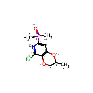 CC1COc2c(cc(P(C)(C)=O)nc2Br)O1